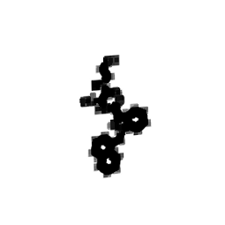 CC(C)(C)[C@H](NC(=O)c1nn(Cc2cccc3ccccc23)c2ccccc12)C(=O)NCCO